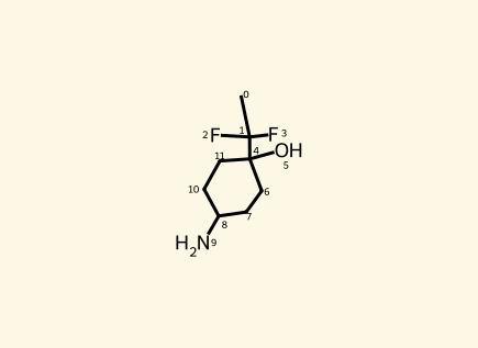 CC(F)(F)C1(O)CCC(N)CC1